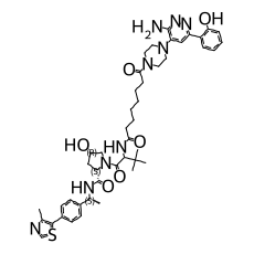 Cc1ncsc1-c1ccc([C@H](C)NC(=O)[C@@H]2C[C@@H](O)CN2C(=O)C(NC(=O)CCCCCCC(=O)N2CCN(c3cc(-c4ccccc4O)nnc3N)CC2)C(C)(C)C)cc1